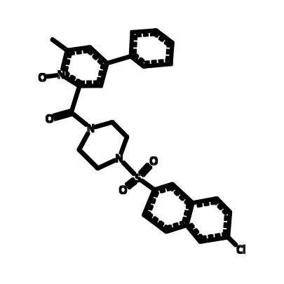 Cc1cc(-c2ccccc2)cc(C(=O)N2CCN(S(=O)(=O)c3ccc4cc(Cl)ccc4c3)CC2)[n+]1[O-]